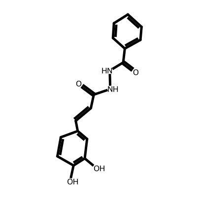 O=C(/C=C/c1ccc(O)c(O)c1)NNC(=O)c1ccccc1